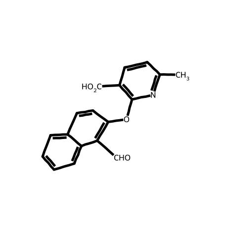 Cc1ccc(C(=O)O)c(Oc2ccc3ccccc3c2C=O)n1